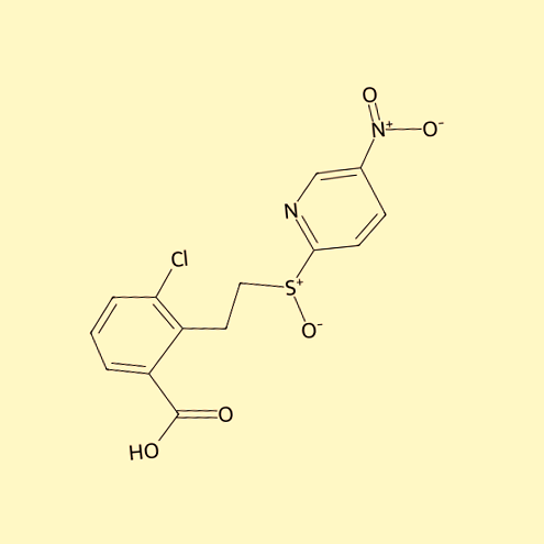 O=C(O)c1cccc(Cl)c1CC[S+]([O-])c1ccc([N+](=O)[O-])cn1